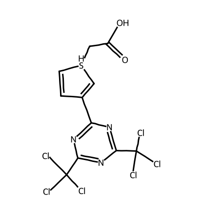 O=C(O)C[SH]1C=CC(c2nc(C(Cl)(Cl)Cl)nc(C(Cl)(Cl)Cl)n2)=C1